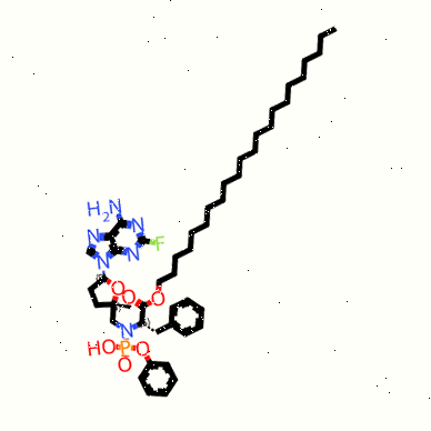 CCCCCCCCCCCCCCCCCCCCCCOC(=O)[C@H](Cc1ccccc1)N(C[C@]1(C)CC[C@H](n2cnc3c(N)nc(F)nc32)O1)P(=O)(O)Oc1ccccc1